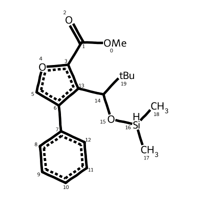 COC(=O)c1occ(-c2ccccc2)c1C(O[SiH](C)C)C(C)(C)C